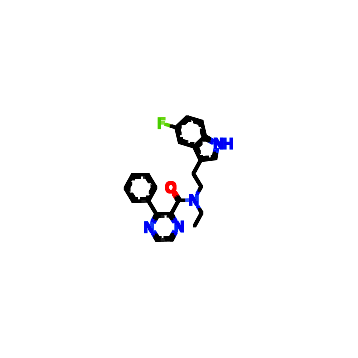 CCN(CCc1c[nH]c2ccc(F)cc12)C(=O)c1nccnc1-c1ccccc1